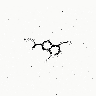 COC(=O)c1ccc2c(OC)cc[n+]([O-])c2c1